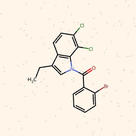 [CH2]Cc1cn(C(=O)c2ccccc2Br)c2c(Cl)c(Cl)ccc12